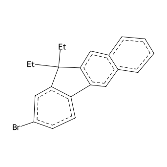 CCC1(CC)c2cc(Br)ccc2-c2cc3ccccc3cc21